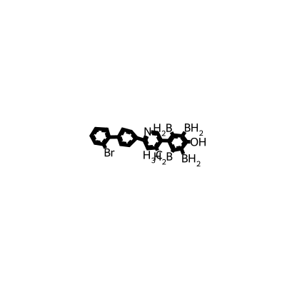 Bc1c(B)c(-c2cnc(-c3ccc(-c4ccccc4Br)cc3)cc2C)c(B)c(B)c1O